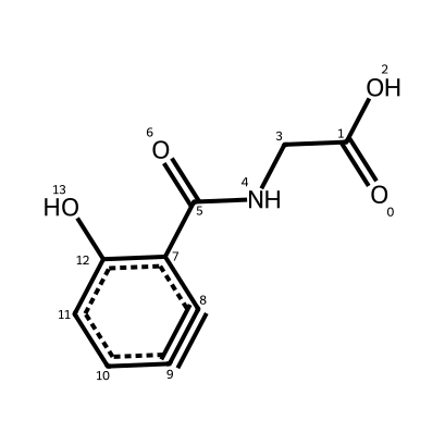 O=C(O)CNC(=O)c1c#cccc1O